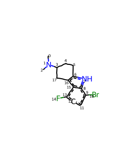 CN(C)C1CCc2[nH]c3c(Br)ccc(F)c3c2C1